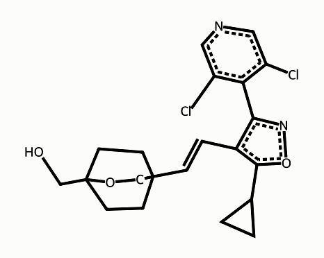 OCC12CCC(C=Cc3c(-c4c(Cl)cncc4Cl)noc3C3CC3)(CC1)CO2